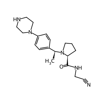 C[C@@H](c1ccc(N2CCNCC2)cc1)N1CCC[C@H]1C(=O)NCC#N